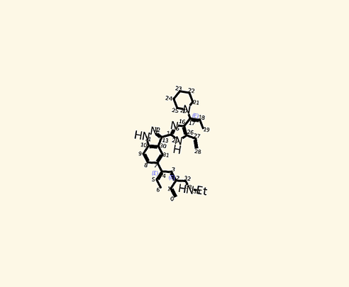 C=C/C(=C\C(=C/C)c1ccc2[nH]nc(-c3nc(/C(=C\C)N4CCCCC4)c(C=C)[nH]3)c2c1)CNCC